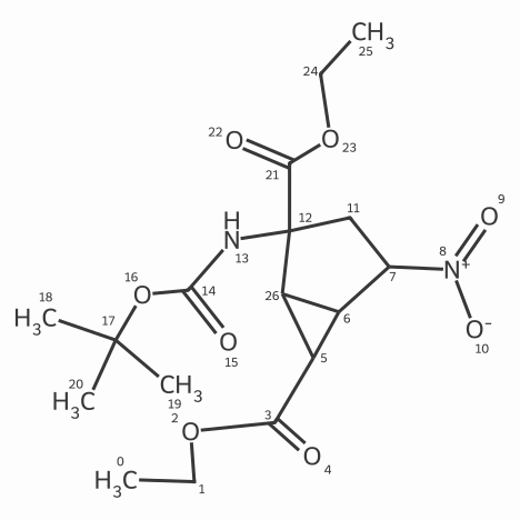 CCOC(=O)C1C2C([N+](=O)[O-])CC(NC(=O)OC(C)(C)C)(C(=O)OCC)C12